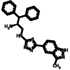 Cc1n[nH]c2ccc(-c3nnc(NC[C@@H](N)C(c4ccccc4)c4ccccc4)s3)cc12